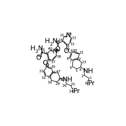 CC(C)CCNC1CCc2cc(Oc3ccncc3C(N)=O)ccc2C1.CC(C)CCNC1CCc2ccc(Oc3ccncc3C(N)=O)cc2C1